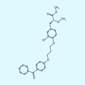 COC(=O)[C@H](Cc1ccc(OCCCOc2ccc(C(=O)c3ccccc3)cc2)c(Cl)c1)OC